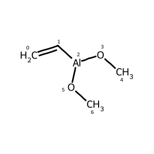 C=[CH][Al]([O]C)[O]C